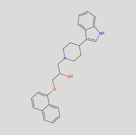 OC(COc1cccc2ccccc12)CN1CCC(c2c[nH]c3ccccc23)CC1